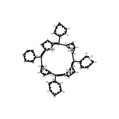 c1ccc(C2=c3ccc([nH]3)=C(c3ccccc3)c3ccc([nH]3)C(c3ccccc3)=c3ccc([nH]3)=C(c3ccccc3)c3ccc2[nH]3)cc1